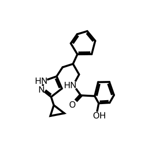 O=C(NCC(Cc1cc(C2CC2)n[nH]1)c1ccccc1)c1ccccc1O